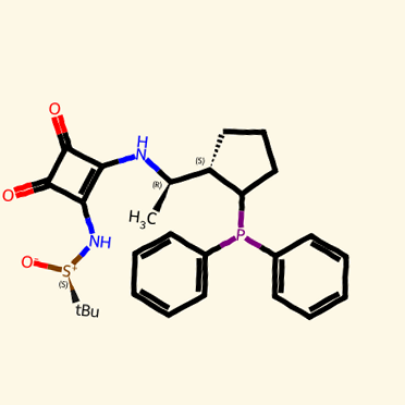 C[C@@H](Nc1c(N[S@+]([O-])C(C)(C)C)c(=O)c1=O)[C@@H]1CCCC1P(c1ccccc1)c1ccccc1